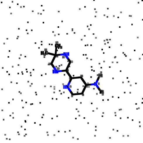 CCN(CC)C1CCNC(C2CNC(C)(C)CN2)C1